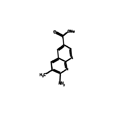 COC(=O)c1cnc2nc(N)c(C)cc2c1